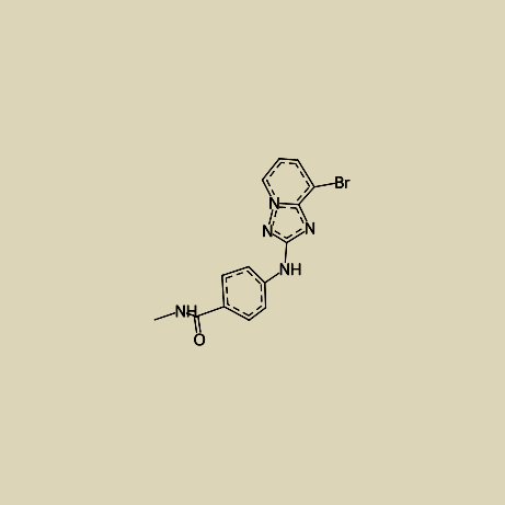 CNC(=O)c1ccc(Nc2nc3c(Br)cccn3n2)cc1